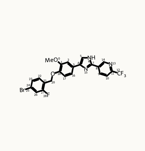 COc1cc(-c2c[nH]c(-c3ccc(C(F)(F)F)nc3)n2)ccc1OCc1ccc(Br)cc1F